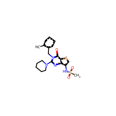 CS(=O)(=O)Nc1csc2c(=O)n(Cc3ccccc3C#N)c(N3CCCCC3)nc12